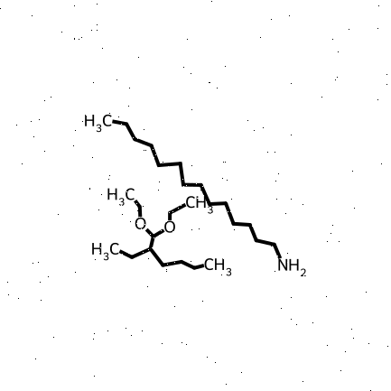 CCCCC(CC)C(OCC)OCC.CCCCCCCCCCCCCCN